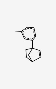 Cc1cccc(C23C=CC([CH]C2)C3)c1